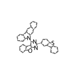 c1ccc2cc3c(cc2c1)c1ccccc1n3-c1nc(-c2ccc3sc4ccccc4c3c2)nc2oc3ccccc3c12